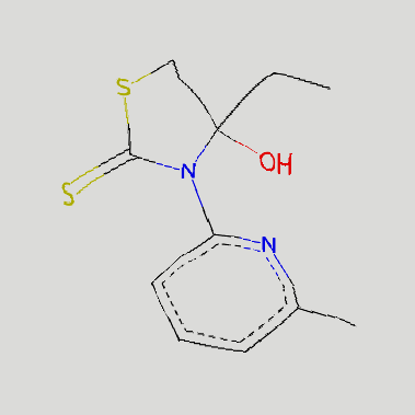 CCC1(O)CSC(=S)N1c1cccc(C)n1